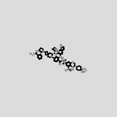 CC(C)c1ccccc1[C@H]1CCCN1C1CC2(CCN(c3ccc(C(=O)NS(=O)(=O)c4cc5c(c([N+](=O)[O-])c4)N[C@@H](C4CCC(C)(O)CC4)CO5)c(Oc4cc5cc[nH]c5nc4OC[C@H]4CCN4)c3)CC2)C1